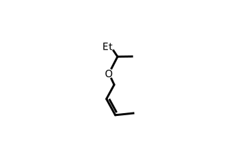 C/C=C\COC(C)CC